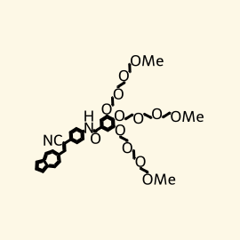 COCCOCCOCCOc1cc(C(=O)Nc2ccc(/C(C#N)=C/c3ccc4cccc-4cc3)cc2)cc(OCCOCCOCCOC)c1OCCOCCOCCOC